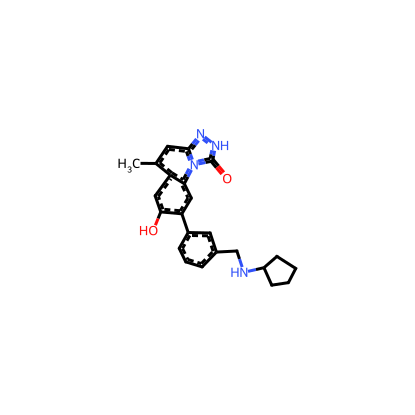 Cc1cc2n[nH]c(=O)n2c2cc(-c3cccc(CNC4CCCC4)c3)c(O)cc12